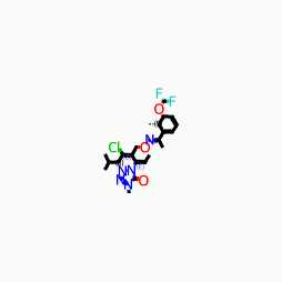 C/C=C(\C(CON=C(C)C1=CC=CC(OC(F)F)[C@H]1C)=C(\Cl)[C@H](C)C(C)C)n1nnn(C)c1=O